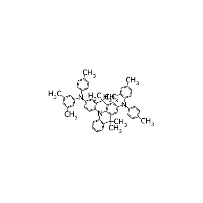 Cc1ccc(N(c2cc(C)cc(C)c2)c2ccc3c(c2)C(C)(C)c2cc(N(c4ccc(C)cc4)c4ccc(C)cc4C)cc4c2N3c2ccccc2C4(C)C)cc1